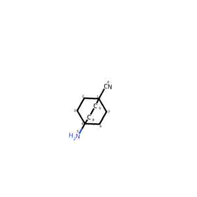 N#CC12CCC(N)(CC1)CC2